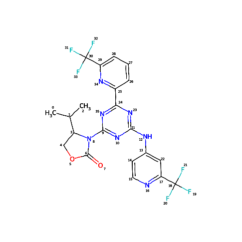 CC(C)C1COC(=O)N1c1nc(Nc2ccnc(C(F)(F)F)c2)nc(-c2cccc(C(F)(F)F)n2)n1